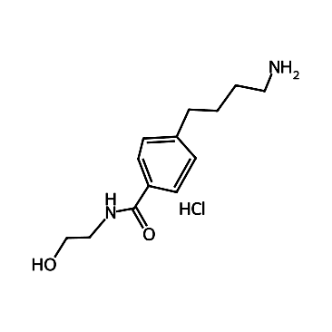 Cl.NCCCCc1ccc(C(=O)NCCO)cc1